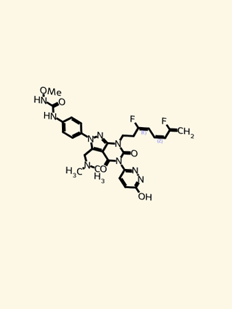 C=C(F)/C=C\C=C(\F)CCn1c(=O)n(-c2ccc(O)nn2)c(=O)c2c(CN(C)C)n(-c3ccc(NC(=O)NOC)cc3)nc21